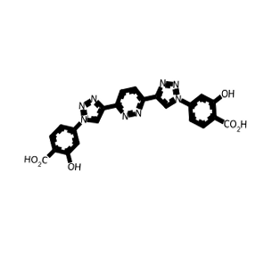 O=C(O)c1ccc(-n2cc(-c3ccc(-c4cn(-c5ccc(C(=O)O)c(O)c5)nn4)nn3)nn2)cc1O